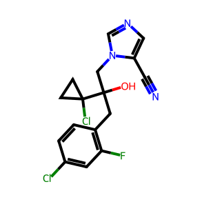 N#Cc1cncn1CC(O)(Cc1ccc(Cl)cc1F)C1(Cl)CC1